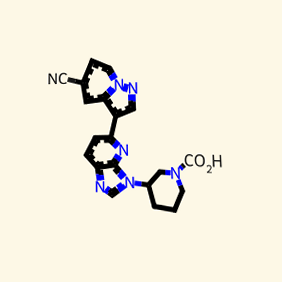 N#Cc1ccn2ncc(-c3ccc4ncn(C5CCCN(C(=O)O)C5)c4n3)c2c1